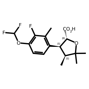 Cc1c([C@H]2[C@H](C(=O)O)OC(C)(C)[C@H]2C)ccc(OC(F)F)c1F